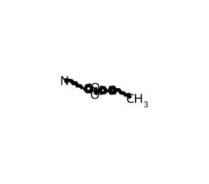 CCCCCCc1ccc([C@H]2CC[C@H](C(=O)O[C@H]3CC[C@H](CCC=CC=CC#N)CC3)CC2)cc1